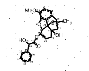 COc1ccc2c3c1OC1C(OC(=O)C(O)c4ccccc4)=CCC4(O)C(C2)N(C)CCC314